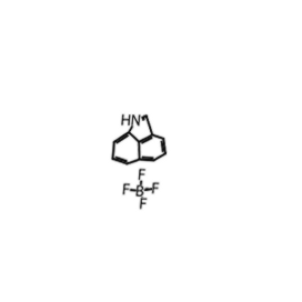 C1=[NH+]c2cccc3cccc1c23.F[B-](F)(F)F